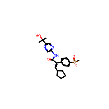 CC(C)(O)c1cnc(NC(=O)/C(=C/C2CCCC2)c2ccc(S(C)(=O)=O)cc2)cn1